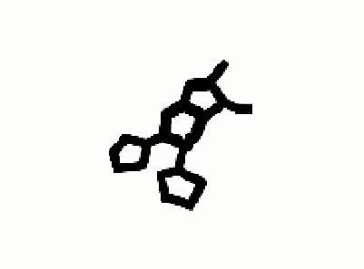 CC1=Cc2cc(C3CCCC3)c(C3CCCC3)cc2C1O